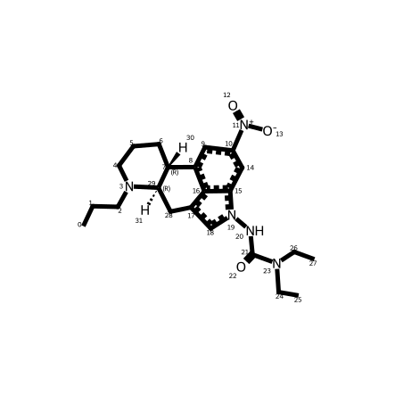 CCCN1CCC[C@@H]2c3cc([N+](=O)[O-])cc4c3c(cn4NC(=O)N(CC)CC)C[C@H]21